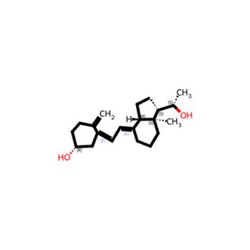 C=C1CC[C@@H](O)C/C1=C/C=C1\CCC[C@]2(C)[C@@H]([C@H](C)O)CC[C@@H]12